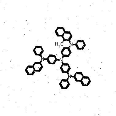 CC1C(N(c2ccccc2)c2ccc(N(c3ccc(N(c4ccccc4)c4ccc5ccccc5c4)cc3)c3ccc(N(c4ccccc4)c4ccc5ccccc5c4)cc3)cc2)=CC=C2C=CC=CC21